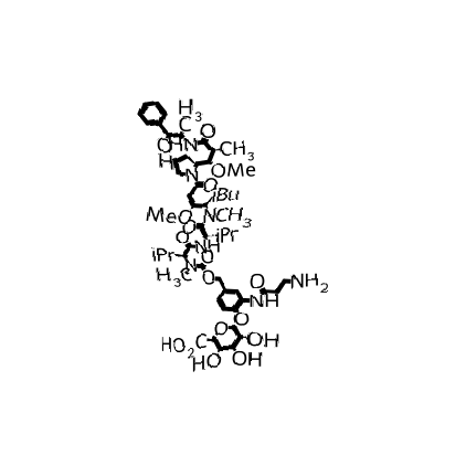 CC[C@H](C)[C@@H]([C@@H](CC(=O)N1CCC[C@H]1[C@H](OC)[C@@H](C)C(=O)N[C@H](C)[C@@H](O)c1ccccc1)OC)N(C)C(=O)[C@@H](NC(=O)[C@H](C(C)C)N(C)C(=O)OCc1ccc(O[C@H]2O[C@H](C(=O)O)[C@@H](O)[C@H](O)[C@H]2O)c(NC(=O)CCN)c1)C(C)C